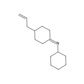 C=CCC1CCC(=NC2CCCCC2)CC1